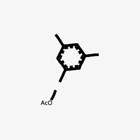 COC(C)=O.Cc1cc(C)cc(C)c1